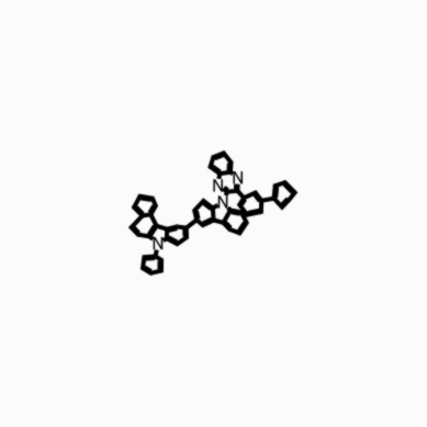 c1ccc(-c2cccc(-c3nc4ccccc4nc3-n3c4ccccc4c4cc(-c5ccc6c(c5)c5c7ccccc7ccc5n6-c5ccccc5)ccc43)c2)cc1